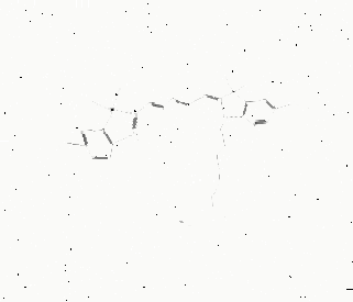 CC[N+]1=C(C=CC=CC=C2N(CCCCCC(=O)O)c3ccc(S(=O)(=O)O)cc3C2(C)C)C(C)(C)c2cc(S(=O)(=O)O)ccc21.[KH]